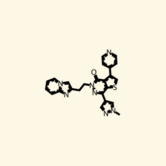 Cn1cc(-c2nn(CCc3cn4ccccc4n3)c(=O)c3c(-c4ccncc4)csc23)cn1